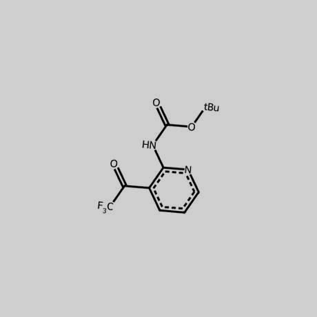 CC(C)(C)OC(=O)Nc1ncccc1C(=O)C(F)(F)F